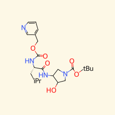 CC(C)C[C@H](NC(=O)OCc1cccnc1)C(=O)NC1CN(C(=O)OC(C)(C)C)CC1O